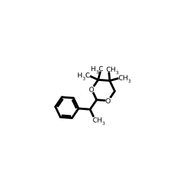 CC(c1ccccc1)C1OCC(C)(C)C(C)(C)O1